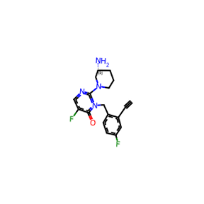 C#Cc1cc(F)ccc1Cn1c(N2CCC[C@@H](N)C2)ncc(F)c1=O